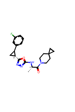 C[C@H](Nc1nnc([C@@H]2CC2c2cccc(F)c2)o1)C(=O)N1CCC2(CC1)CC2